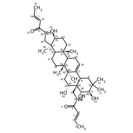 C/C=C/C(=O)NC[C@@]12C(CC(C)(C)[C@@H](O)[C@@H]1O)C1=CCC3[C@@]4(C)CC[C@H](O)[C@](C)(CNC(=O)/C=C/C)C4CC[C@@]3(C)[C@]1(C)C[C@H]2O